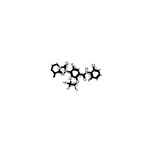 CC1CCCn2c1nn(-c1cc(O[C@@H](C)C(F)(F)F)c(C(=O)Nc3c(F)cccc3Cl)cc1F)c2=O